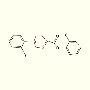 O=C(Oc1ccccc1F)c1ccc(-c2ccccc2F)cc1